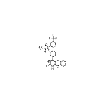 CNS(=O)(=O)c1cc(C(F)(F)F)ccc1C1=CCC(c2[nH]c(=O)[nH]c(=O)c2Cc2ccccc2)CC1